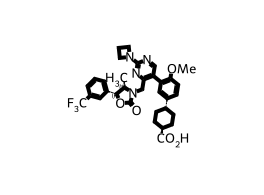 COc1ccc([C@H]2CC[C@H](C(=O)O)CC2)cc1-c1cnc(N2CCC2)nc1CN1C(=O)O[C@H](c2cccc(C(F)(F)F)c2)[C@@H]1C